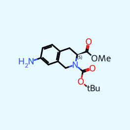 COC(=O)[C@@H]1Cc2ccc(N)cc2CN1C(=O)OC(C)(C)C